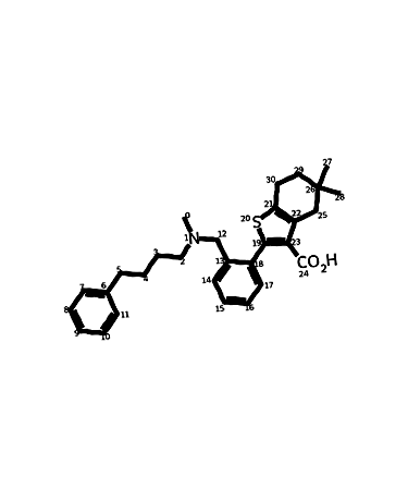 CN(CCCCc1ccccc1)Cc1ccccc1-c1sc2c(c1C(=O)O)CC(C)(C)CC2